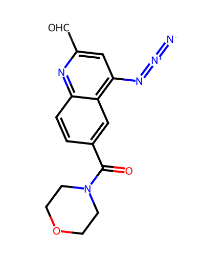 [N-]=[N+]=Nc1cc(C=O)nc2ccc(C(=O)N3CCOCC3)cc12